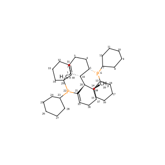 CC1=CCC[C@H](P(C2CCCCC2)C2CCCCC2)[C@@H]1[C@@H]1C(P(C2CCCCC2)C2CCCCC2)=CCC[C@@H]1C